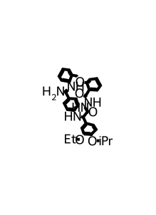 CCOc1cc(C(Nc2ccc(C(=N)N)cc2)C(=O)NNC(=O)c2ccccc2OCc2ccccc2)ccc1OC(C)C